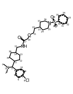 CN(C)C(c1ccc(Cl)cc1)C1CCC(CNC(=O)COCCC2CCN(S(=O)(=O)c3ccccc3)CC2)CC1